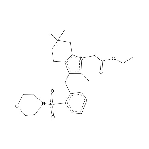 CCOC(=O)Cn1c(C)c(Cc2ccccc2S(=O)(=O)N2CCOCC2)c2c1CC(C)(C)CC2